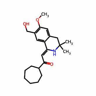 COc1cc2c(cc1CO)C(=CC(=O)C1CCCCCC1)NC(C)(C)C2